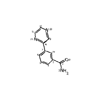 NC(=O)c1c[c]cc(-c2cnccn2)c1